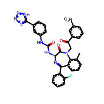 Cc1cccc2c1N(CC(=O)c1cccc([N+](=O)[O-])c1)C(=O)[C@H](NC(=O)Nc1cccc(-c3nnn[nH]3)c1)N=C2c1ccccc1F